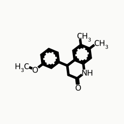 COc1cccc(C2CC(=O)Nc3cc(C)c(C)cc32)c1